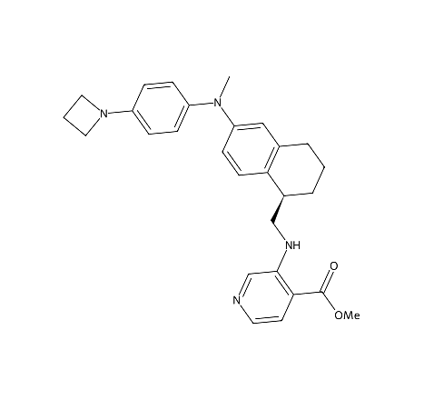 COC(=O)c1ccncc1NC[C@@H]1CCCc2cc(N(C)c3ccc(N4CCC4)cc3)ccc21